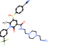 Cc1c([S+]([O-])c2ccc(C#N)cc2)cc(C(=O)NCCN2CCN(CCN)CC2)c(=O)n1-c1cccc(C(F)(F)F)c1